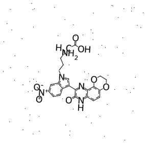 CC(=O)O.NCCCn1cc(-c2nc3c4c(ccc3[nH]c2=O)OCCO4)c2ccc([N+](=O)[O-])cc21